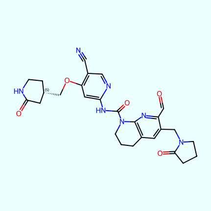 N#Cc1cnc(NC(=O)N2CCCc3cc(CN4CCCC4=O)c(C=O)nc32)cc1OC[C@H]1CCNC(=O)C1